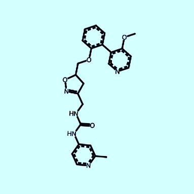 COc1ccncc1-c1ccccc1OCC1CC(CNC(=O)Nc2ccnc(C)c2)=NO1